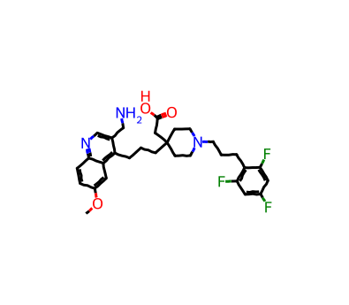 COc1ccc2ncc(CN)c(CCCC3(CC(=O)O)CCN(CCCc4c(F)cc(F)cc4F)CC3)c2c1